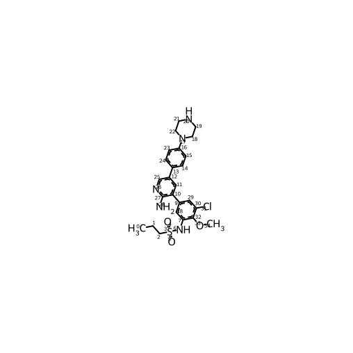 CCCS(=O)(=O)Nc1cc(-c2cc(-c3ccc(N4CCNCC4)cc3)cnc2N)cc(Cl)c1OC